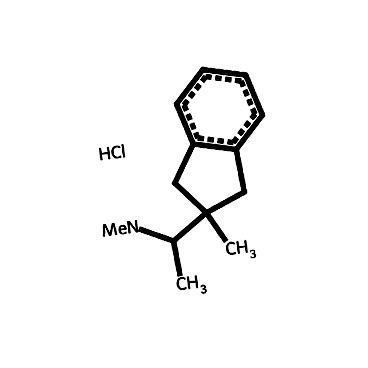 CNC(C)C1(C)Cc2ccccc2C1.Cl